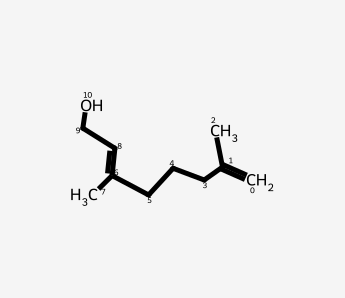 C=C(C)CCCC(C)=CCO